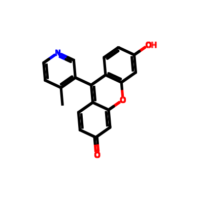 Cc1ccncc1-c1c2ccc(=O)cc-2oc2cc(O)ccc12